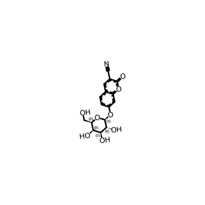 N#Cc1cc2ccc(O[C@@H]3O[C@H](CO)[C@H](O)[C@H](O)[C@H]3O)cc2oc1=O